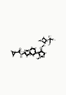 CN1C[C@@H](C(F)(F)F)[C@@H]1COc1cnn(C)c1-c1ccn2nc(NC(=O)C3CC3)cc2c1